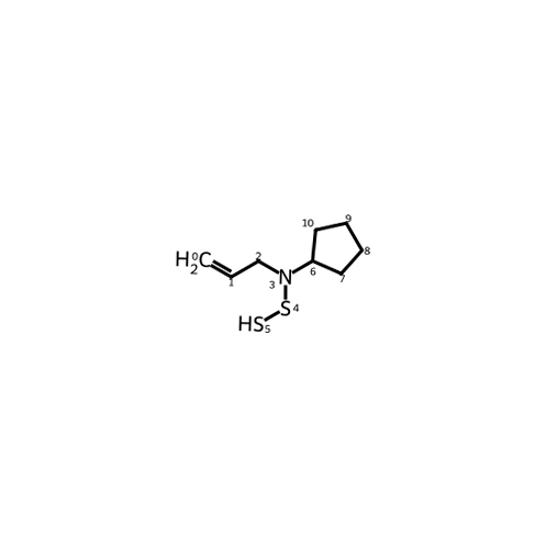 C=CCN(SS)C1CCCC1